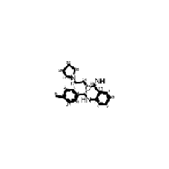 Cc1ccc(CNc2ccccc2C(=N)OCCN2CCCC2)cc1